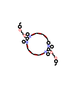 C=Cc1ccc(OCCCCOCc2cc3cc(c2)n(-c2ccccc2)c2ccc(cc2)c2ccc(cc2)c2ccc(cc2)c2ccc(cc2)n(-c2ccccc2)c2cc(COCCCCOc4ccc(C=C)cc4)cc(c2)n(-c2ccccc2)c2ccc(cc2)c2ccc(cc2)c2ccc(cc2)c2ccc(cc2)n3-c2ccccc2)cc1